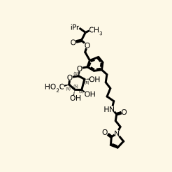 CC(C)C(C)C(=O)OCc1ccc(CCCCCNC(=O)CCN2CC=CC2=O)cc1O[C@@H]1O[C@H](C(=O)O)[C@@H](O)[C@H](O)[C@H]1O